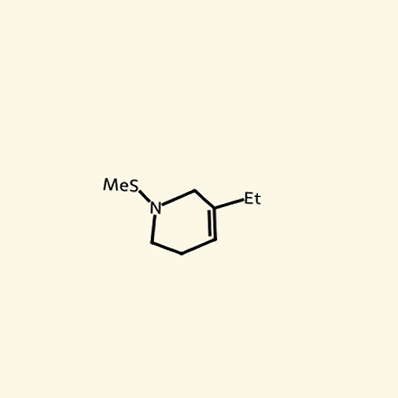 CCC1=CCCN(SC)C1